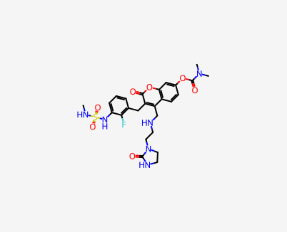 CNS(=O)(=O)Nc1cccc(Cc2c(CNCCN3CCNC3=O)c3ccc(OC(=O)N(C)C)cc3oc2=O)c1F